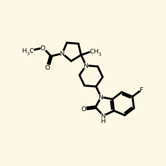 COC(=O)N1CCC(C)(N2CCC(n3c(=O)[nH]c4ccc(F)cc43)CC2)C1